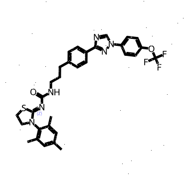 Cc1cc(C)c(N2CCS/C2=N\C(=O)NCCCc2ccc(-c3ncn(-c4ccc(OC(F)(F)F)cc4)n3)cc2)c(C)c1